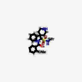 COc1ccccc1C(=O)NC(C1(c2ccccc2)CCNCC1)S(=O)(=O)NC(C)C